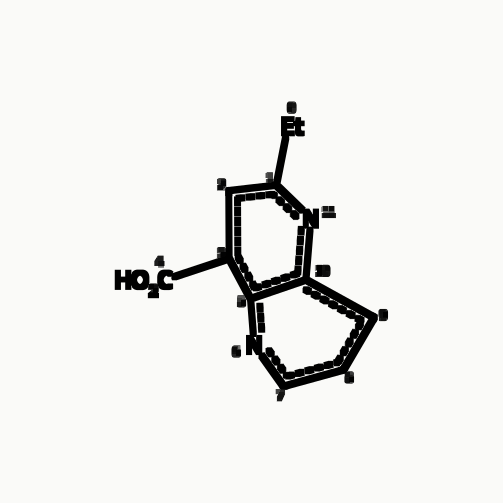 CCc1cc(C(=O)O)c2ncccc2n1